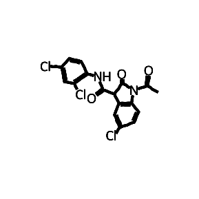 CC(=O)N1C(=O)C(C(=O)Nc2ccc(Cl)cc2Cl)c2cc(Cl)ccc21